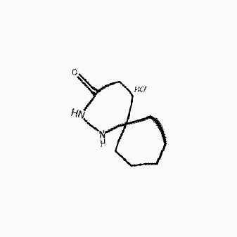 Cl.O=C1CCC2(CCCCC2)NN1